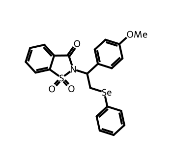 COc1ccc(C(C[Se]c2ccccc2)N2C(=O)c3ccccc3S2(=O)=O)cc1